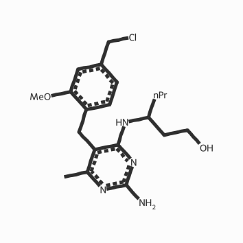 CCCC(CCO)Nc1nc(N)nc(C)c1Cc1ccc(CCl)cc1OC